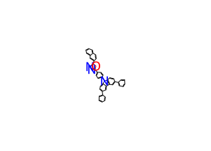 c1ccc(-c2ccc3c(c2)c2cc(-c4ccccc4)ccc2n3-c2ccc(-c3nnc(-c4ccc5ccccc5c4)o3)cc2)cc1